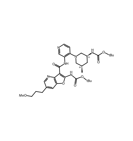 COCCCc1cnc2c(C(=O)Nc3cnccc3N3C[C@H](C)C[C@H](NC(=O)OC(C)(C)C)C3)c(NC(=O)OC(C)(C)C)oc2c1